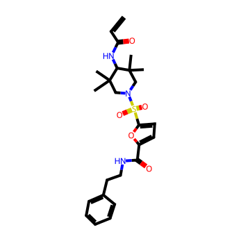 C=CC(=O)NC1C(C)(C)CN(S(=O)(=O)c2ccc(C(=O)NCCc3ccccc3)o2)CC1(C)C